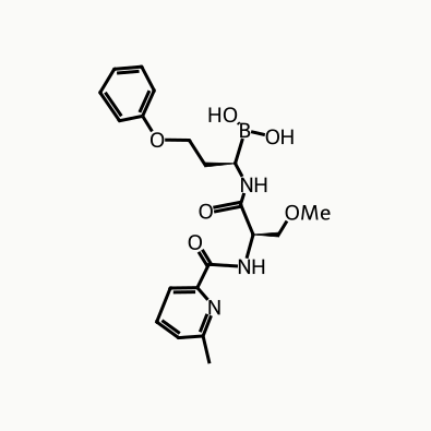 COC[C@@H](NC(=O)c1cccc(C)n1)C(=O)N[C@@H](CCOc1ccccc1)B(O)O